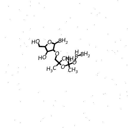 BBOC(C)(N)OC(C)(C)COC1C(B)OC(CO)C1O